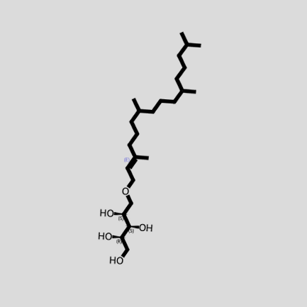 C/C(=C\COC[C@H](O)[C@@H](O)[C@H](O)CO)CCCC(C)CCCC(C)CCCC(C)C